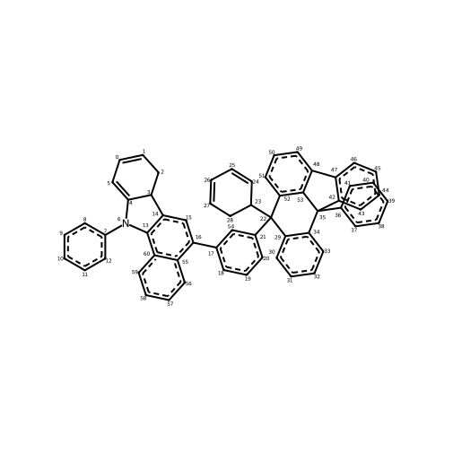 C1=CCC2C(=C1)N(c1ccccc1)c1c2cc(-c2cccc(C3(C4C=CC=CC4)c4ccccc4C4(c5ccccc5)c5ccccc5-c5cccc3c54)c2)c2ccccc12